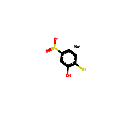 O=S([O-])c1ccc(S)c(O)c1.[Na+]